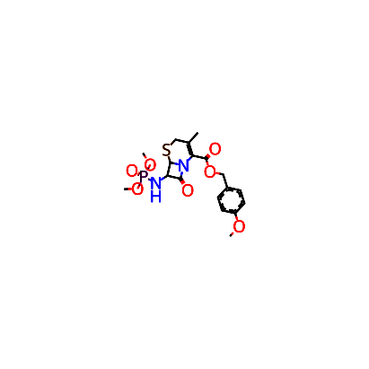 COc1ccc(COC(=O)C2=C(C)CSC3C(NP(=O)(OC)OC)C(=O)N23)cc1